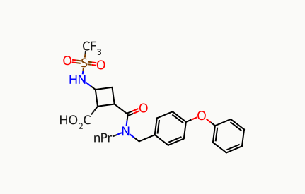 CCCN(Cc1ccc(Oc2ccccc2)cc1)C(=O)C1CC(NS(=O)(=O)C(F)(F)F)C1C(=O)O